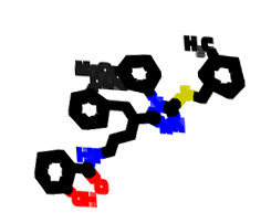 COc1cccc(-n2c(SCc3cccc(C)c3)nnc2C(CCCNC(=O)c2ccccc2O)Cc2ccccc2OC)c1